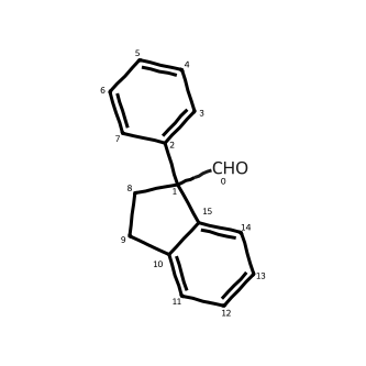 O=CC1(c2ccccc2)CCc2ccccc21